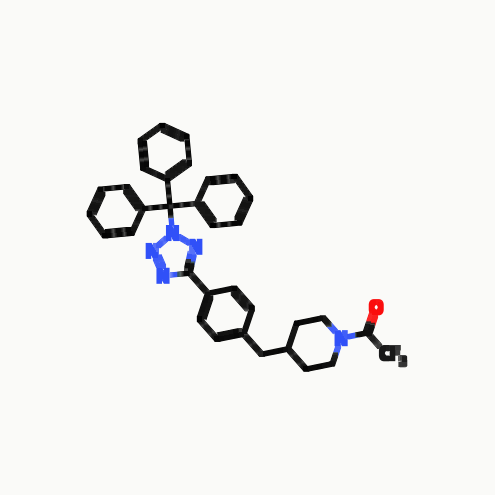 O=C(N1CCC(Cc2ccc(-c3nnn(C(c4ccccc4)(c4ccccc4)c4ccccc4)n3)cc2)CC1)C(F)(F)F